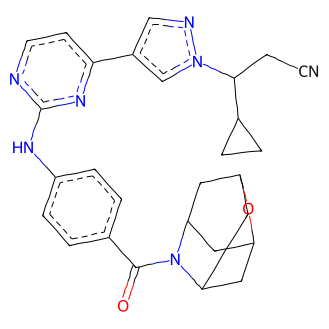 N#CCC(C1CC1)n1cc(-c2ccnc(Nc3ccc(C(=O)N4C5CC6CC4CC(C5)O6)cc3)n2)cn1